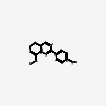 CCOC1=CCCc2cnc(-c3ccc(OC)cc3)nc21